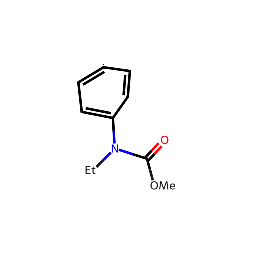 CCN(C(=O)OC)c1cc[c]cc1